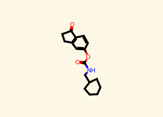 O=C(NCC1CCCCC1)Oc1ccc2c(c1)CCC2=O